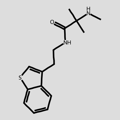 CNC(C)(C)C(=O)NCCc1csc2ccccc12